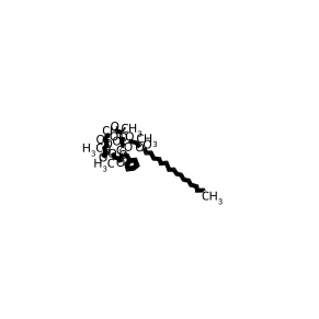 CCCCCCCCCCCCCCCCCC(=O)O[C@@H](C)C(=O)O[C@H](C)C(=O)O[C@H](C)C(=O)O[C@H](C)C(=O)O[C@H](C)C(=O)O[C@H](C)C(=O)OCc1ccccc1